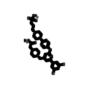 CS(=O)(=O)CCCN1CCN(c2ncc(Oc3cc(CN4CCC(CC(N)=O)CC4)cc(-c4cc(Cl)cc(Cl)c4)n3)cn2)CC1